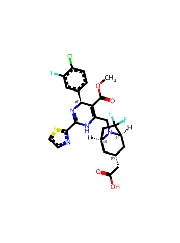 COC(=O)C1=C(CN2[C@H]3C[C@@H](CC(=O)O)C[C@@H]2C(F)(F)C3)NC(c2nccs2)=N[C@H]1c1ccc(Cl)c(F)c1